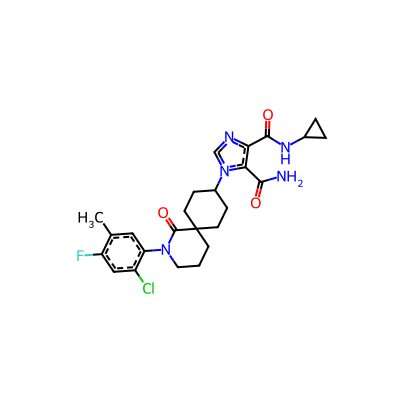 Cc1cc(N2CCCC3(CCC(n4cnc(C(=O)NC5CC5)c4C(N)=O)CC3)C2=O)c(Cl)cc1F